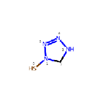 SN1CNN=N1